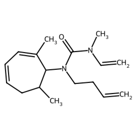 C=CCCN(C(=O)N(C)C=C)C1C(C)=CC=CCC1C